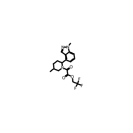 CC1CCC(c2cccc3c2cnn3C)N(C(=O)C(=O)OCC(F)(F)F)C1